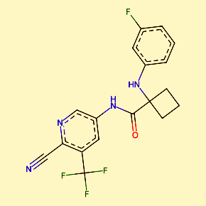 N#Cc1ncc(NC(=O)C2(Nc3cccc(F)c3)CCC2)cc1C(F)(F)F